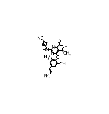 C=C1NC(=O)c2nc(NC34CC(C#N)(C3)C4)nc(Oc3c(C)cc(/C=C/C#N)cc3C)c21